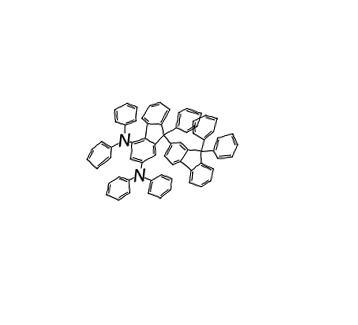 c1ccc(N(c2ccccc2)c2cc(N(c3ccccc3)c3ccccc3)c3c(c2)C(c2ccccc2)(c2ccc4c(c2)C(c2ccccc2)(c2ccccc2)c2ccccc2-4)c2ccccc2-3)cc1